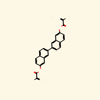 C=C(C)C(=O)Oc1ccc2ccc(-c3ccc4ccc(OC(=O)C(=C)C)cc4c3)cc2c1